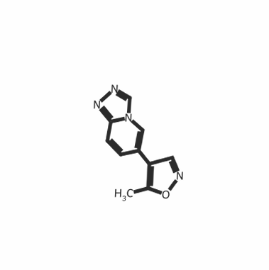 Cc1oncc1-c1ccc2nncn2c1